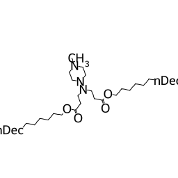 CCCCCCCCCCCCCCCCOC(=O)CCN(CCC(=O)OCCCCCCCCCCCCCCCC)N1CCN(C)CC1